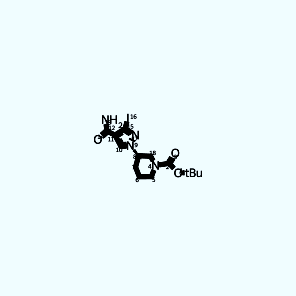 CC(C)(C)OC(=O)N1CCC[C@@H](n2cc(C(N)=O)c(I)n2)C1